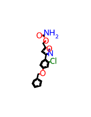 NC(=O)OCc1cc(-c2ccc(OCc3ccccc3)cc2Cl)no1